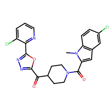 Cn1c(C(=O)N2CCC(C(=O)c3nnc(-c4ncccc4Cl)o3)CC2)cc2cc(Cl)ccc21